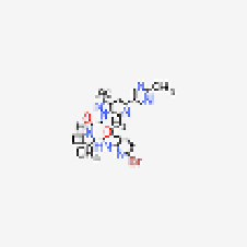 CC(=O)c1nn(CC(=O)N2[C@H](C(=O)Nc3nc(Br)ccc3C)C[C@@]3(C)C=C[C@@H]23)c2cnc(-c3cnc(C)nc3)cc12